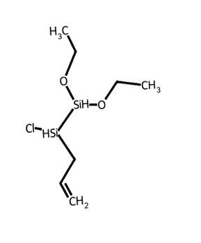 C=CC[SiH](Cl)[SiH](OCC)OCC